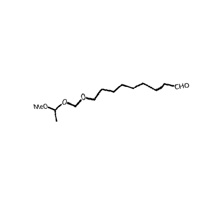 COC(C)OCOCCCCCCCCC=O